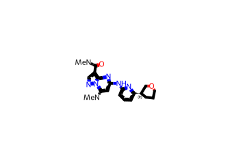 CNC(=O)c1cnn2c(NC)cc(Nc3cccc([C@H]4CCCOC4)n3)nc12